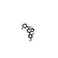 COc1ccc(C2=NN=C(NC3CCCN(C)C3)N3C=CCC23)c(C)c1